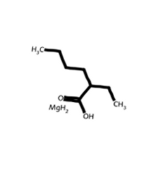 CCCCC(CC)C(=O)O.[MgH2]